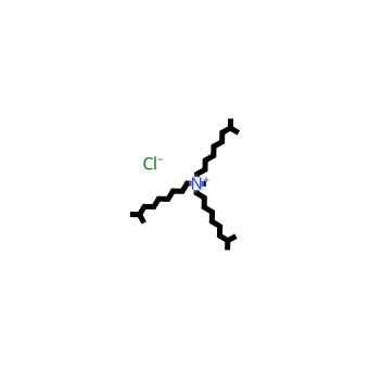 CC(C)CCCCCCC[N+](C)(CCCCCCCC(C)C)CCCCCCCC(C)C.[Cl-]